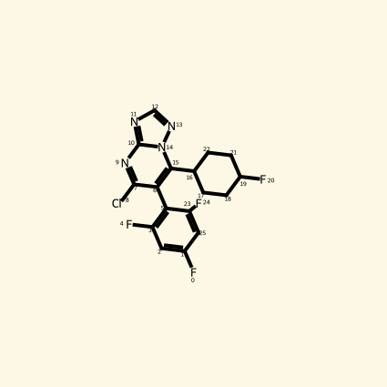 Fc1cc(F)c(-c2c(Cl)nc3ncnn3c2C2CCC(F)CC2)c(F)c1